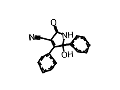 N#CC1=C(c2ccccc2)C(O)(c2ccccc2)NC1=O